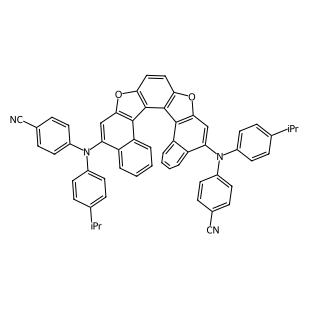 CC(C)c1ccc(N(c2ccc(C#N)cc2)c2cc3oc4ccc5oc6cc(N(c7ccc(C#N)cc7)c7ccc(C(C)C)cc7)c7ccccc7c6c5c4c3c3ccccc23)cc1